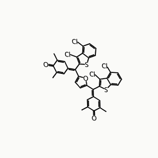 CC1=CC(=C(c2ccc(C(=C3C=C(C)C(=O)C(C)=C3)c3sc4cccc(Cl)c4c3Cl)o2)c2sc3cccc(Cl)c3c2Cl)C=C(C)C1=O